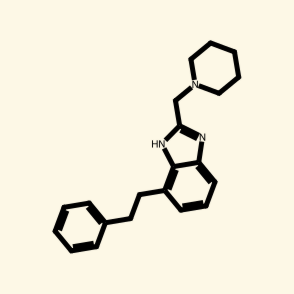 c1ccc(CCc2cccc3nc(CN4CCCCC4)[nH]c23)cc1